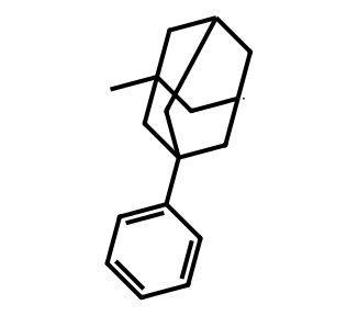 CC12C[C]3CC(C1)CC(c1ccccc1)(C3)C2